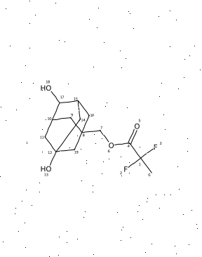 CC(F)(F)C(=O)OCC12CC3CC(O)(CC(C1)C3O)C2